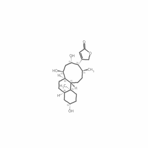 C[C@H]1CC[C@H]2[C@@H](CC[C@@H]3C[C@@H](O)CC[C@@]32C)[C@@H](O)C[C@H](O)[C@@H]1C1=CC(=O)OC1